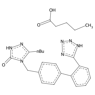 CCCCC(=O)O.CCCCc1n[nH]c(=O)n1Cc1ccc(-c2ccccc2-c2nnn[nH]2)cc1